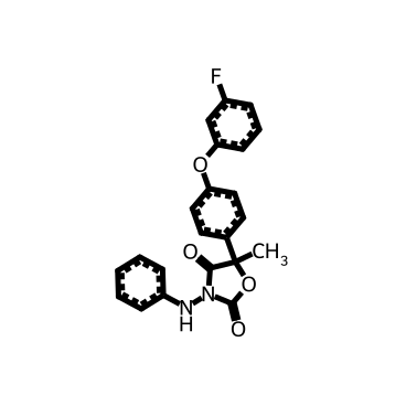 CC1(c2ccc(Oc3cccc(F)c3)cc2)OC(=O)N(Nc2ccccc2)C1=O